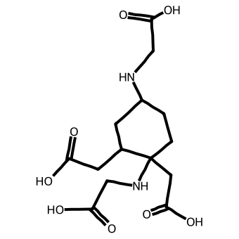 O=C(O)CNC1CCC(CC(=O)O)(NCC(=O)O)C(CC(=O)O)C1